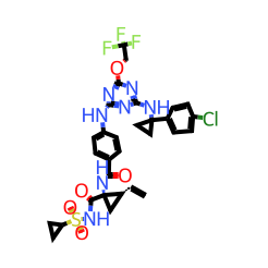 C=C[C@@H]1C[C@]1(NC(=O)c1ccc(Nc2nc(NC3(c4ccc(Cl)cc4)CC3)nc(OCC(F)(F)F)n2)cc1)C(=O)NS(=O)(=O)C1CC1